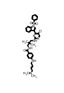 CN(C)C/C=C/CNc1ccc(C(=O)NCC(C)(C)CNc2ncc(Cl)c(-c3cn(S(=O)(=O)c4ccccc4)c4ccccc34)n2)cc1